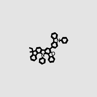 CCC1(C)c2ccccc2-c2c1ccc1c3cc(-c4ccc5c(c4)c4ccccc4n5-c4ccccc4)c4oc5ccccc5c4c3n(-c3ccccc3)c21